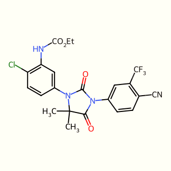 CCOC(=O)Nc1cc(N2C(=O)N(c3ccc(C#N)c(C(F)(F)F)c3)C(=O)C2(C)C)ccc1Cl